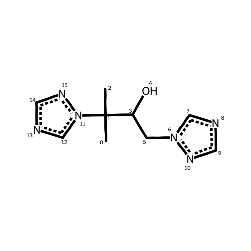 CC(C)(C(O)Cn1cncn1)n1cncn1